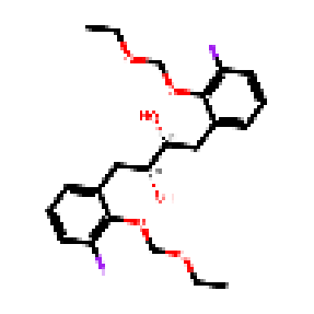 CCOCOc1c(I)cccc1C[C@@H](O)[C@H](O)Cc1cccc(I)c1OCOCC